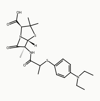 CCN(CC)c1ccc(SC(C)C(=O)N[C@@]2(C)C(=O)N3[C@@H](C(=O)O)C(C)(C)S[C@@H]32)cc1